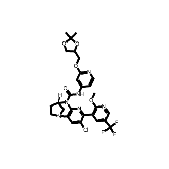 COc1ncc(C(F)(F)F)cc1-c1nc2c(cc1Cl)N1CC[C@@H](C1)N2C(=O)Nc1ccnc(OCC2COC(C)(C)O2)c1